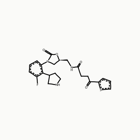 O=C(CCC(=O)c1cccs1)NC[C@H]1CN(c2cccc(F)c2C2CCNC2)C(=O)O1